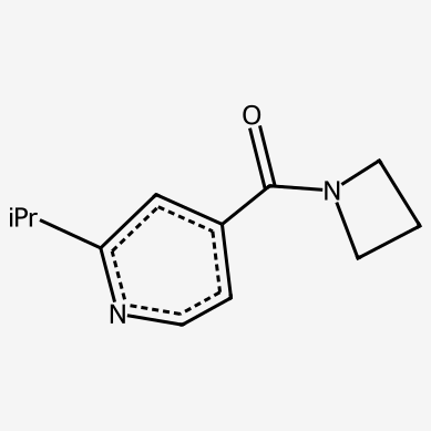 CC(C)c1cc(C(=O)N2CCC2)ccn1